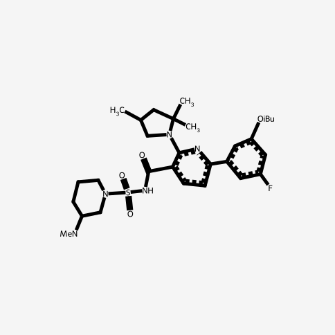 CNC1CCCN(S(=O)(=O)NC(=O)c2ccc(-c3cc(F)cc(OCC(C)C)c3)nc2N2CC(C)CC2(C)C)C1